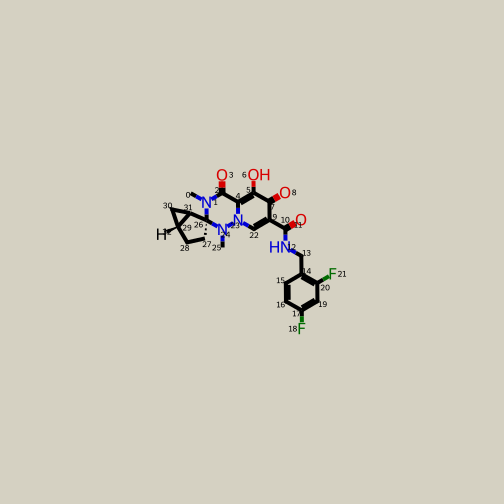 CN1C(=O)c2c(O)c(=O)c(C(=O)NCc3ccc(F)cc3F)cn2N(C)[C@]12CC[C@@H]1CC12